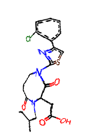 CC(C)CN1C(=O)CCCN(c2nc(-c3ccccc3Cl)cs2)C(=O)C1CC(=O)O